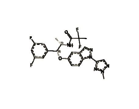 C[C@H](NC(=O)C(C)(F)F)[C@H](Oc1ccc2c(cnn2-c2cnn(C)n2)c1)c1cc(F)cc(F)c1